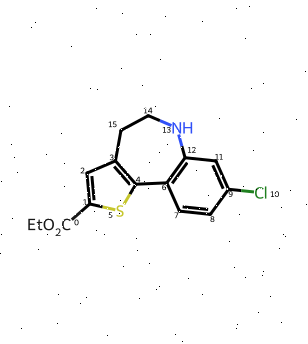 CCOC(=O)c1cc2c(s1)-c1ccc(Cl)cc1NCC2